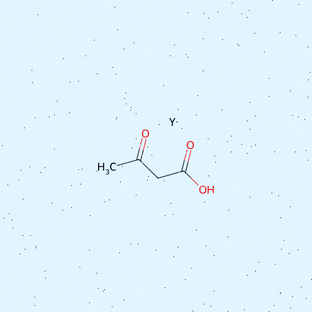 CC(=O)CC(=O)O.[Y]